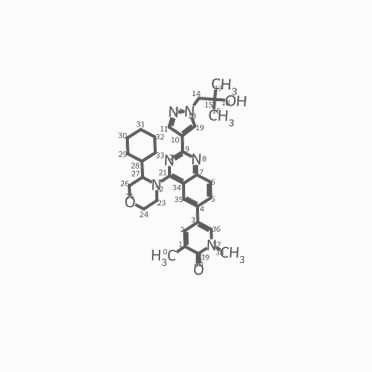 Cc1cc(-c2ccc3nc(-c4cnn(CC(C)(C)O)c4)nc(N4CCOCC4C4CCCCC4)c3c2)cn(C)c1=O